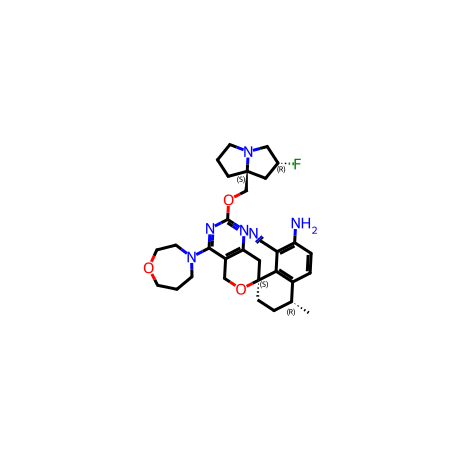 C[C@@H]1CC[C@]2(Cc3nc(OC[C@@]45CCCN4C[C@H](F)C5)nc(N4CCCOCC4)c3CO2)c2c1ccc(N)c2C#N